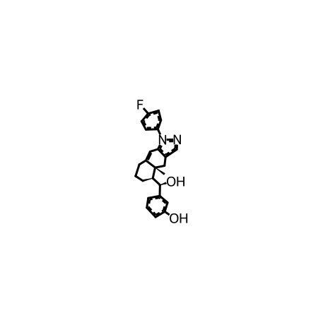 C[C@]12Cc3cnn(-c4ccc(F)cc4)c3C=C1CCC[C@@H]2[C@@H](O)c1cccc(O)c1